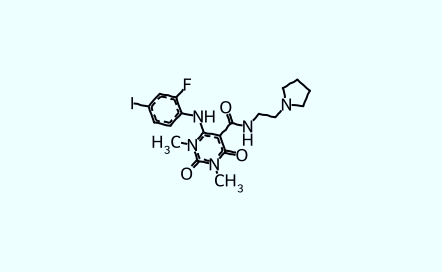 Cn1c(Nc2ccc(I)cc2F)c(C(=O)NCCN2CCCC2)c(=O)n(C)c1=O